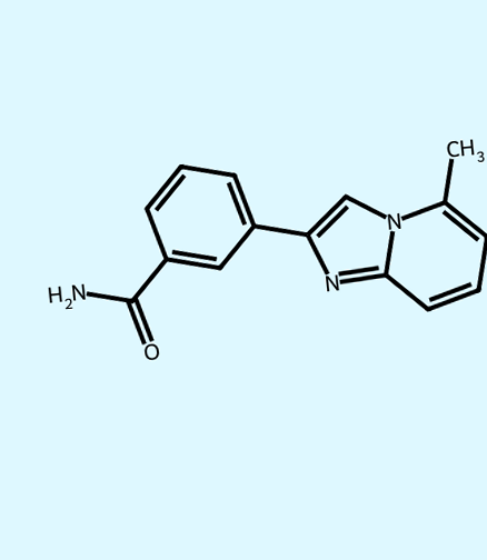 Cc1cccc2nc(-c3cccc(C(N)=O)c3)cn12